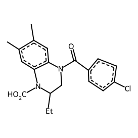 CCC1CN(C(=O)c2ccc(Cl)cc2)c2cc(C)c(C)cc2N1C(=O)O